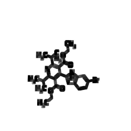 CCOC(=O)c1c(C(C)C)nc(C(C)C)c(C(=O)OCC)c1-c1cc2ccc(Br)cc2[nH]1